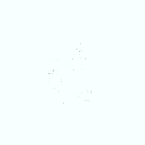 CCCCCCC[N+](CCCCCCC)(CCCCCCC)CCCCCCC.CCCCCCC[N+](CCCCCCC)(CCCCCCC)CCCCCCC.Cc1ccccc1.[O]=[W](=[O])([O-])[O-]